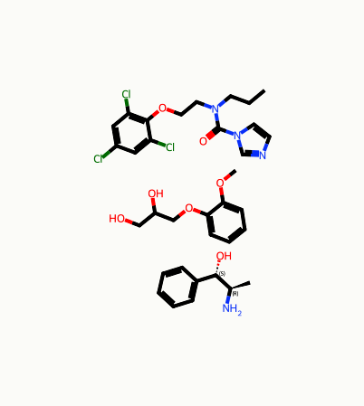 CCCN(CCOc1c(Cl)cc(Cl)cc1Cl)C(=O)n1ccnc1.COc1ccccc1OCC(O)CO.C[C@@H](N)[C@@H](O)c1ccccc1